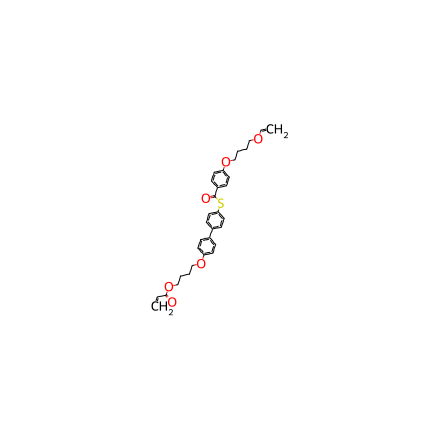 C=COCCCCOc1ccc(C(=O)Sc2ccc(-c3ccc(OCCCCOC(=O)C=C)cc3)cc2)cc1